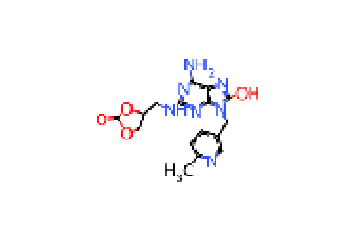 Cc1ccc(Cn2c(O)nc3c(N)nc(NCC4COC(=O)O4)nc32)cn1